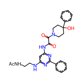 CC(=O)NCCNc1cc(NC(=O)C(=O)N2CCC(O)(c3ccccc3)CC2)nc(-c2ccccc2)n1